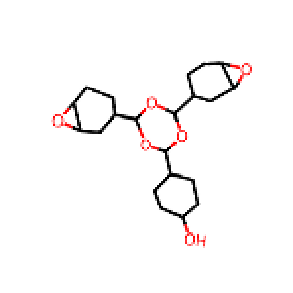 OC1CCC(C2OC(C3CCC4OC4C3)OC(C3CCC4OC4C3)O2)CC1